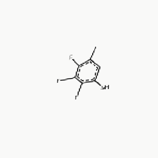 Cc1cc(S)c(F)c(F)c1F